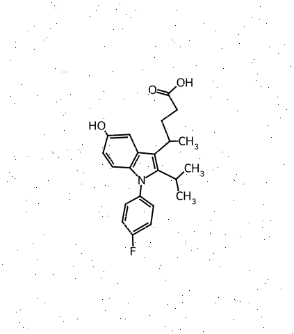 CC(C)c1c(C(C)CCC(=O)O)c2cc(O)ccc2n1-c1ccc(F)cc1